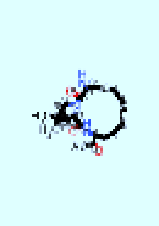 CC(=O)C(=O)[C@@H]1CCCCCCCCC[C@H](N)C(=O)N2C[C@H]3[C@@H]([C@H]2C(=O)N1)C3(C)C